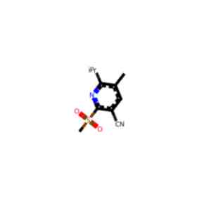 Cc1cc(C#N)c(S(C)(=O)=O)nc1C(C)C